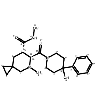 CN1CC2(CC2)C[C@H](C(=O)NO)[C@H]1C(=O)N1CCC(O)(c2ccccc2)CC1